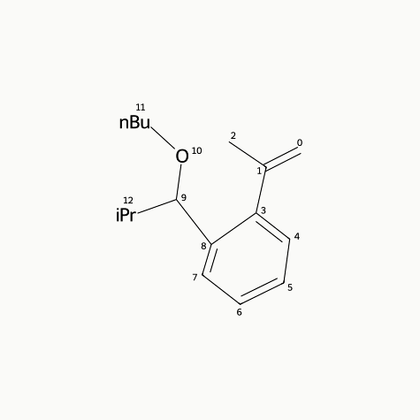 C=C(C)c1ccccc1C(OCCCC)C(C)C